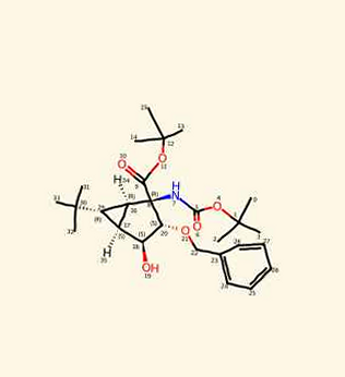 CC(C)(C)OC(=O)N[C@]1(C(=O)OC(C)(C)C)[C@H]2[C@@H]([C@H](O)[C@H]1OCc1ccccc1)[C@@H]2C(C)(C)C